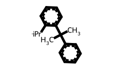 C[C](C)c1ccccc1C(C)(C)c1ccccc1